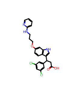 O=C(O)CC(c1cc(Cl)cc(Cl)c1)c1c[nH]c2cc(OCCCNc3ccccn3)ccc12